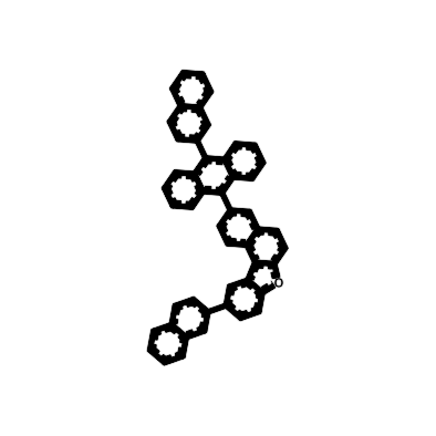 c1ccc2cc(-c3ccc4oc5ccc6cc(-c7c8ccccc8c(-c8ccc9ccccc9c8)c8ccccc78)ccc6c5c4c3)ccc2c1